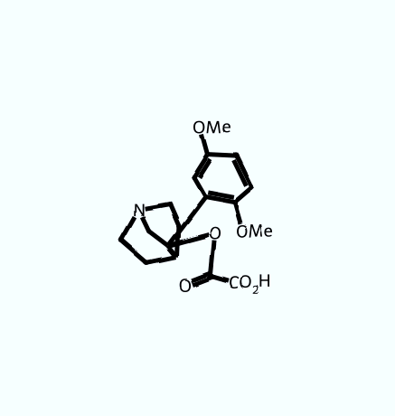 COc1ccc(OC)c(C2(OC(=O)C(=O)O)CN3CCC2CC3)c1